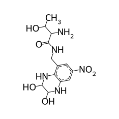 CC(O)C(N)C(=O)NCc1cc([N+](=O)[O-])cc2c1NC(O)C(O)N2